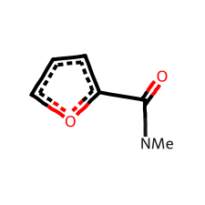 CNC(=O)c1ccco1